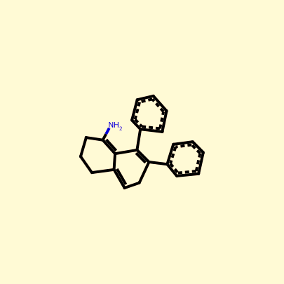 NC1=C2C(=CCC(c3ccccc3)=C2c2ccccc2)CCC1